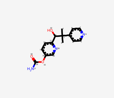 CC(C)(c1ccncc1)C(O)c1ccc(OC(N)=O)cn1